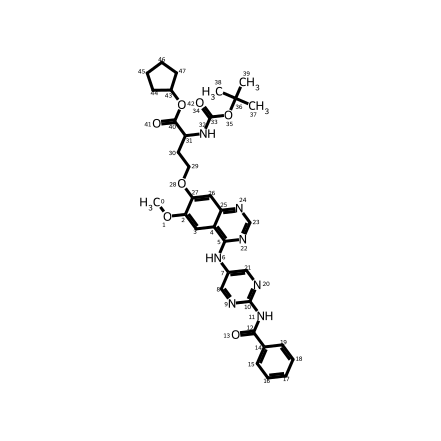 COc1cc2c(Nc3cnc(NC(=O)c4ccccc4)nc3)ncnc2cc1OCCC(NC(=O)OC(C)(C)C)C(=O)OC1CCCC1